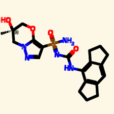 C[C@]1(O)COc2c(S(N)(=O)=NC(=O)Nc3c4c(cc5c3CCC5)CCC4)cnn2C1